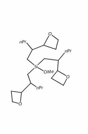 CCCC(C[Si](CC(CCC)C1CCO1)(CC(CCC)C1CCO1)OC)C1CCO1